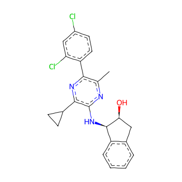 Cc1nc(N[C@@H]2c3ccccc3C[C@@H]2O)c(C2CC2)nc1-c1ccc(Cl)cc1Cl